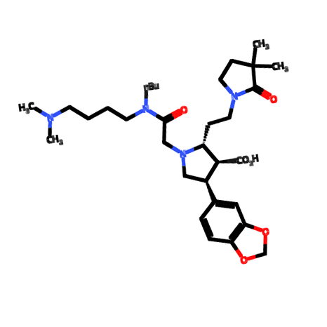 CCCCN(CCCCN(C)C)C(=O)CN1C[C@H](c2ccc3c(c2)OCO3)[C@H](C(=O)O)[C@H]1CCN1CCC(C)(C)C1=O